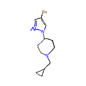 Brc1cnn(C2CCN(CC3CC3)CC2)c1